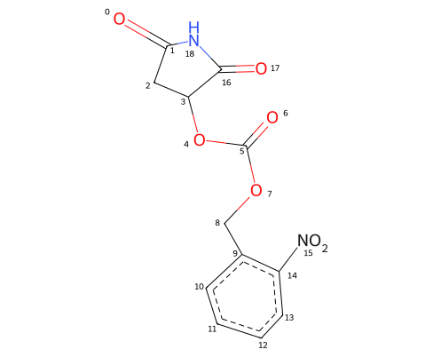 O=C1CC(OC(=O)OCc2ccccc2[N+](=O)[O-])C(=O)N1